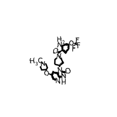 CN1CCC(Oc2cnc3[nH]c(=O)n(C4CCN(C(=O)c5ccc(OC(F)(F)F)cc5N)CC4)c3c2)CC1